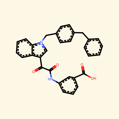 O=C(Nc1cccc(C(=O)O)c1)C(=O)c1cn(Cc2ccc(Cc3ccccc3)cc2)c2ccccc12